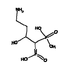 NCCC(O)C([PH](=O)O)P(=O)(O)O